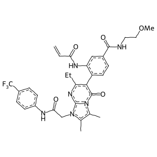 C=CC(=O)Nc1cc(C(=O)NCCOC)ccc1-c1c(CC)nc2n(CC(=O)Nc3ccc(C(F)(F)F)cc3)c(C)c(C)n2c1=O